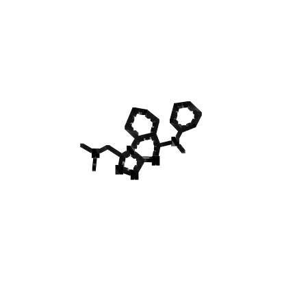 CN(C)Cc1nnc2nc(N(C)c3ccccc3)c3ccccc3n12